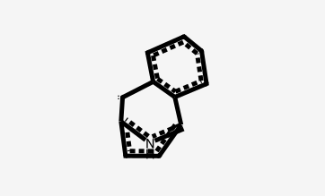 [C]1c2ccc([nH]2)-c2ccccc21